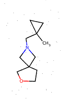 CC1(CN2CC3(CCOC3)C2)CC1